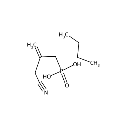 C=C(CC#N)CP(=O)(O)O.CCCC